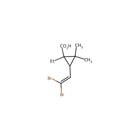 CCC1(C(=O)O)C(C=C(Br)Br)C1(C)C